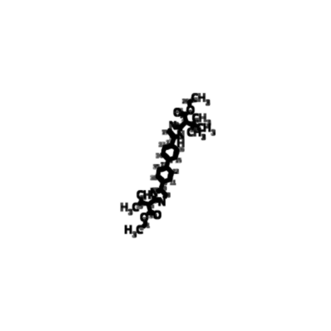 CCOC(=O)C(C1=NCC(c2ccc(-c3ccc(-c4cnc(C(C(=O)OCC)C(C)(C)C)[nH]4)cc3)cc2)=N1)C(C)C